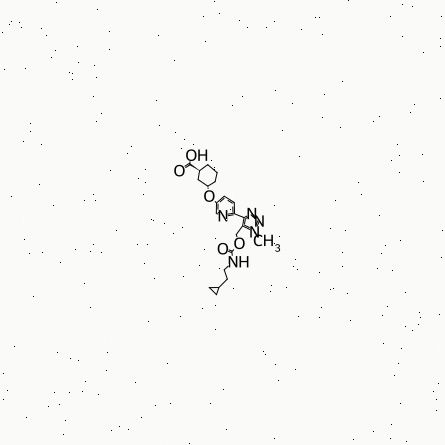 Cn1nnc(-c2ccc(O[C@H]3CCC[C@H](C(=O)O)C3)cn2)c1COC(=O)NCCC1CC1